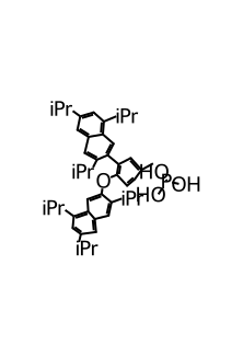 Cc1ccc(Oc2cc3c(C(C)C)cc(C(C)C)cc3cc2C(C)C)c(-c2cc3c(C(C)C)cc(C(C)C)cc3cc2C(C)C)c1.OP(O)O